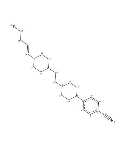 N#Cc1ccc(C2CCC(CCC3CCC(C=CCCF)CC3)CC2)cc1